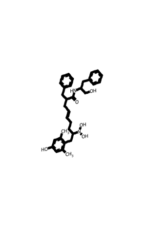 Cc1cc(O)cc(C)c1CC(CCC=CCC(Cc1ccccc1)C(=O)NC(CO)Cc1ccccc1)N(O)O